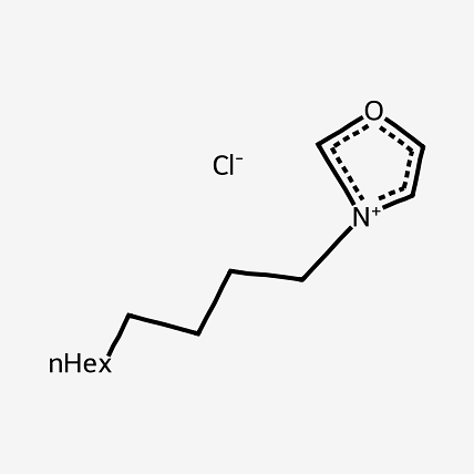 CCCCCCCCCC[n+]1ccoc1.[Cl-]